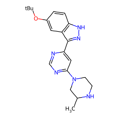 CC1CN(c2cc(-c3n[nH]c4ccc(OC(C)(C)C)cc34)ncn2)CCN1